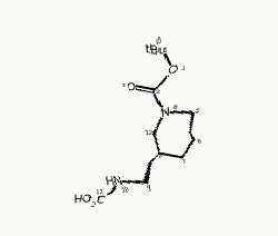 CC(C)(C)OC(=O)N1CCC[C@@H](CNC(=O)O)C1